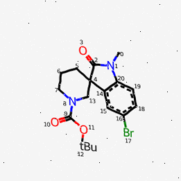 CN1C(=O)C2(CCCN(C(=O)OC(C)(C)C)C2)c2cc(Br)ccc21